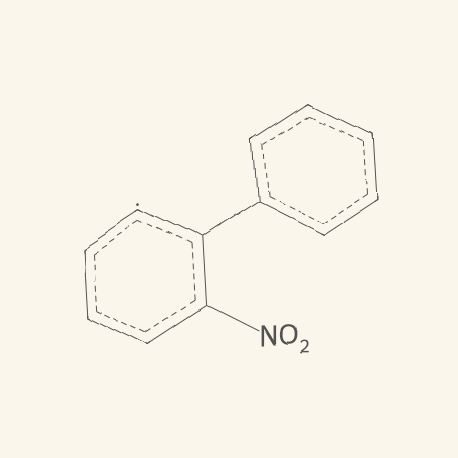 O=[N+]([O-])c1ccc[c]c1-c1ccccc1